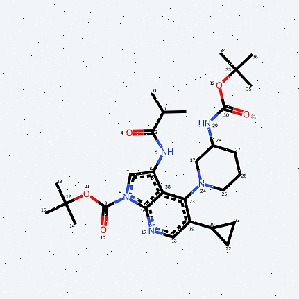 CC(C)C(=O)Nc1cn(C(=O)OC(C)(C)C)c2ncc(C3CC3)c(N3CCCC(NC(=O)OC(C)(C)C)C3)c12